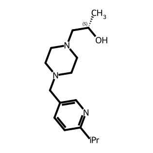 CC(C)c1ccc(CN2CCN(C[C@H](C)O)CC2)cn1